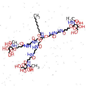 CCCCCCCCCCCC(=O)NC(COCCC(=O)NCCCNC(=O)CCCCO[C@@H]1OC(CO)[C@@H](O)C(O)C1NC(C)=O)(COCCC(=O)NCCCNC(=O)CCCCO[C@@H]1OC(CO)[C@@H](O)C(O)C1NC(C)=O)COCCC(=O)NCCCNC(=O)CCCCO[C@@H]1OC(CO)[C@@H](O)C(O)C1NC(C)=O